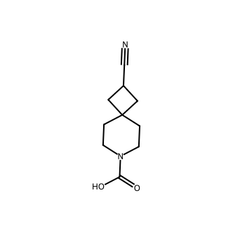 N#CC1CC2(CCN(C(=O)O)CC2)C1